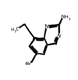 CCc1cc(Br)cc2cnc(N)nc12